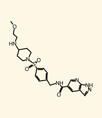 COCCNC1CCN(S(=O)(=O)c2ccc(CNC(=O)c3cnc4[nH]ncc4c3)cc2)CC1